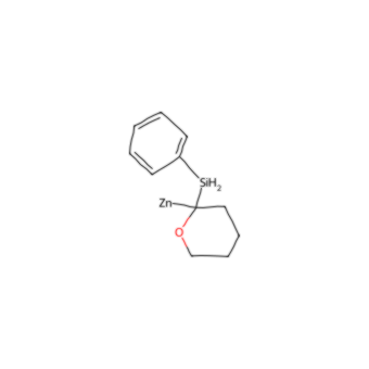 [Zn][C]1([SiH2]c2ccccc2)CCCCO1